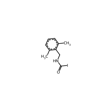 Cc1cccc(C)c1CNC(=O)I